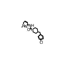 CN1CC=CC(NC(=O)N2CCC(Cc3ccc(Cl)cc3)CC2)=N1